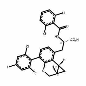 O=C(N[C@@H](Cc1ccc(-c2c(Cl)cc(F)cc2Cl)c2c1[C@@H]1C[C@@H]1CO2)C(=O)O)c1c(Cl)cccc1Cl